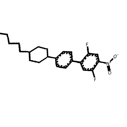 CCCCCC1CCC(c2ccc(-c3cc(F)c([N+](=O)[O-])cc3F)cc2)CC1